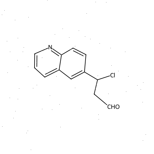 O=CCC(Cl)c1ccc2ncccc2c1